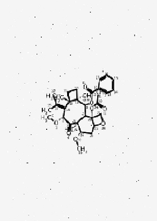 CO[C@H]1C(=O)[C@@]2(C)C([C@H](OC(=O)c3ccccc3)[C@]3(O)CC[C@@]3(C)C1=C(C)C)[C@]1(OC(C)=O)COC1C[C@@H]2OC